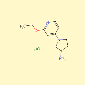 Cl.NC1CCN(c2ccnc(OCC(F)(F)F)c2)C1